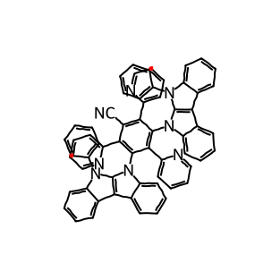 N#Cc1c(-c2ccccn2)c(-n2c3ccccc3c3c4ccccc4n(-c4ccccc4)c32)c(-c2ccccn2)c(-n2c3ccccc3c3c4ccccc4n(-c4ccccc4)c32)c1-c1ccccn1